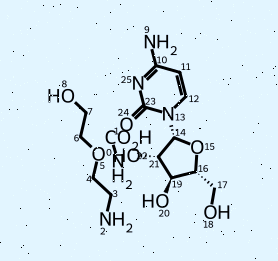 NC(=O)O.NCCOCCO.Nc1ccn([C@@H]2O[C@H](CO)[C@@H](O)[C@@H]2O)c(=O)n1